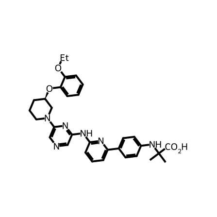 CCOc1ccccc1O[C@@H]1CCCN(c2cncc(Nc3cccc(-c4ccc(NC(C)(C)C(=O)O)cc4)n3)n2)C1